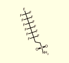 NS(=O)(=O)CCC(F)(F)C(F)(F)C(F)(F)C(F)(F)C(F)(F)C(F)(F)F